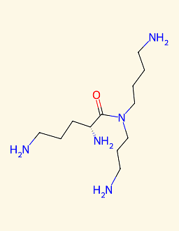 NCCCCN(CCCN)C(=O)[C@H](N)CCCN